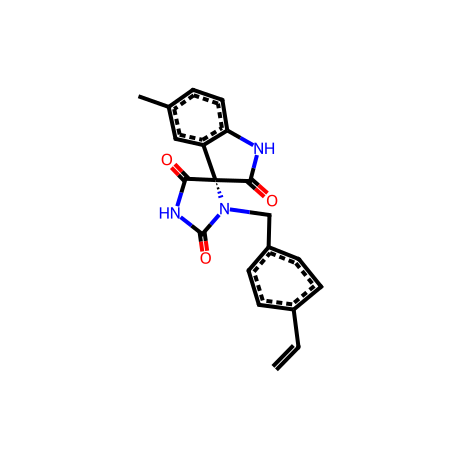 C=Cc1ccc(CN2C(=O)NC(=O)[C@@]23C(=O)Nc2ccc(C)cc23)cc1